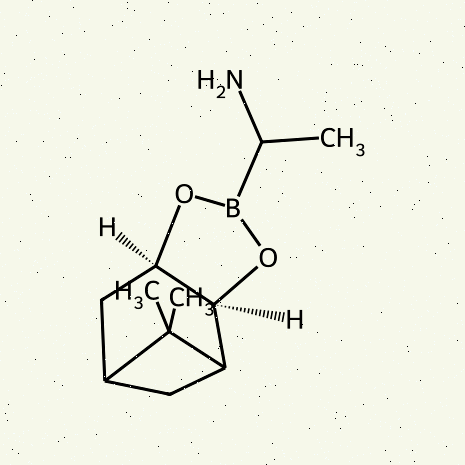 CC(N)B1O[C@@H]2CC3CC([C@@H]2O1)C3(C)C